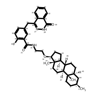 C[C@H]1CC[C@@]2(C)[C@@H](CC[C@@H]3[C@@H]2CC[C@]2(C)[C@@H](OCCNC(=O)c4cc(Cc5n[nH]c(=O)c6ccccc56)ccc4F)CC[C@@H]32)C1